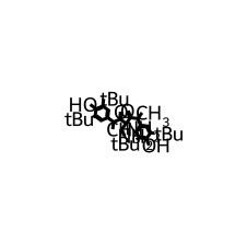 CC(C(=O)C(N)(CN)C(=O)C(C)c1cc(C(C)(C)C)c(O)c(C(C)(C)C)c1)c1cc(C(C)(C)C)c(O)c(C(C)(C)C)c1